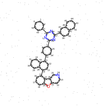 c1ccc(-c2nc(-c3ccc(-c4ccc(-c5cccc6oc7ccncc7c56)c5ccccc45)cc3)nc(-c3ccc4ccccc4c3)n2)cc1